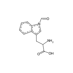 NC(Cc1cn(C=O)c2ccccc12)C(=O)O